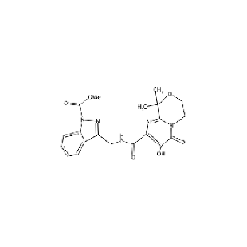 COC(=O)n1nc(CNC(=O)c2nc3n(c(=O)c2O)CCOC3(C)C)c2ccccc21